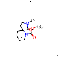 CC(C)N1CCC2(CCCCN2C(=O)OC(C)(C)C)C1=O